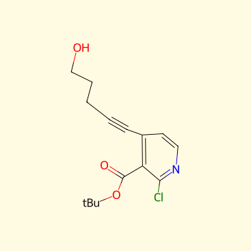 CC(C)(C)OC(=O)c1c(C#CCCCO)ccnc1Cl